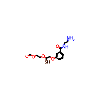 NCCNC(=O)c1cccc(OCC(S)OCCOC=O)c1